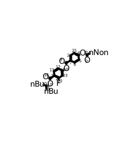 CCCCCCCCCC(=O)Oc1ccc(C(=O)Oc2ccc(C(=O)OC(CCCC)CCCC)c(F)c2)cc1